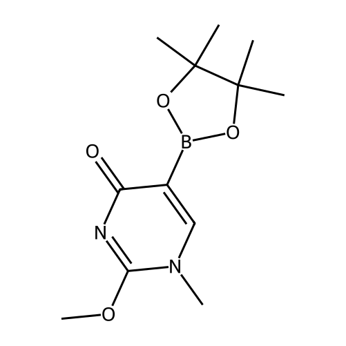 COc1nc(=O)c(B2OC(C)(C)C(C)(C)O2)cn1C